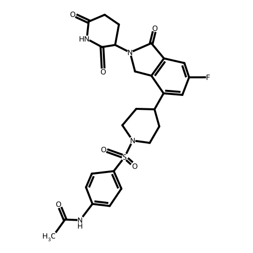 CC(=O)Nc1ccc(S(=O)(=O)N2CCC(c3cc(F)cc4c3CN(C3CCC(=O)NC3=O)C4=O)CC2)cc1